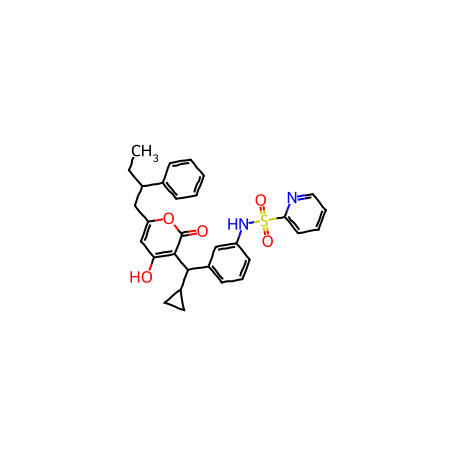 CCC(Cc1cc(O)c(C(c2cccc(NS(=O)(=O)c3ccccn3)c2)C2CC2)c(=O)o1)c1ccccc1